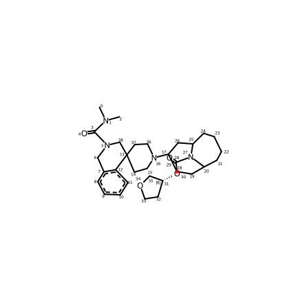 CN(C)C(=O)N1Cc2ccccc2C2(CCN(C3CCC4CCCCC(C3)N4C(=O)O[C@@H]3CCOC3)CC2)C1